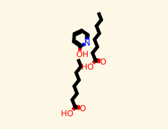 CCCCCCCC(=O)O.CCCCCCCC(=O)O.Oc1ccccn1